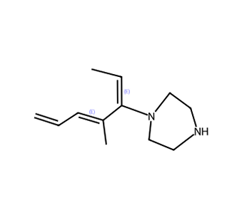 C=C/C=C(C)/C(=C\C)N1CCNCC1